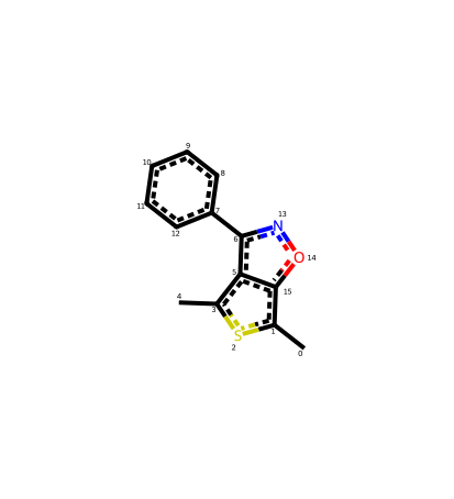 Cc1sc(C)c2c(-c3ccccc3)noc12